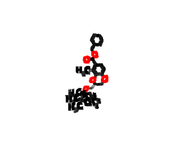 Cc1c(C(=O)OCc2ccccc2)ccc2c1O[C@@H](CO[Si](C)(C)C(C)(C)C)CO2